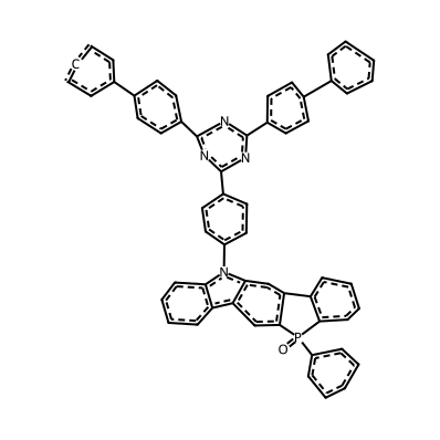 O=P1(c2ccccc2)c2ccccc2-c2cc3c(cc21)c1ccccc1n3-c1ccc(-c2nc(-c3ccc(-c4ccccc4)cc3)nc(-c3ccc(-c4ccccc4)cc3)n2)cc1